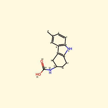 Cc1ccc2[nH]c3c(c2c1)CC(NC(=O)O)CC3